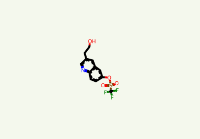 O=S(=O)(Oc1ccc2ncc(CCO)cc2c1)C(F)(F)F